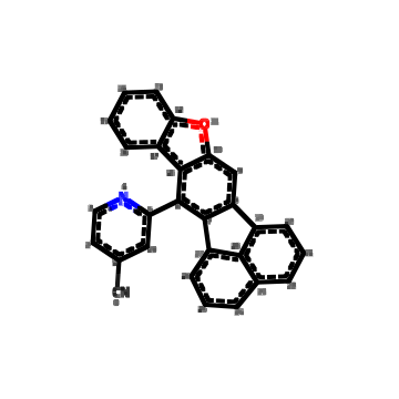 N#Cc1ccnc(-c2c3c(cc4oc5ccccc5c24)-c2cccc4cccc-3c24)c1